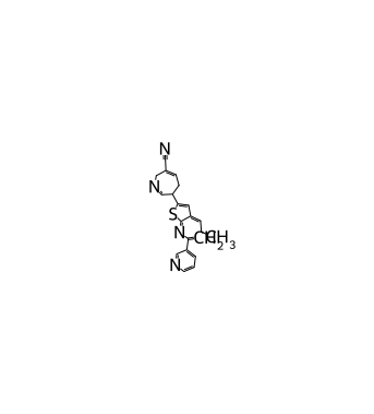 C=C(/N=C1/SC(C2C=NCC(C#N)=CC2)=C/C1=C/CC)c1cccnc1